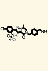 C[C@H]1CN(Cc2ccc(CN)cc2)C(=O)c2cc(-c3ccc(Cl)cc3NS(C)(=O)=O)nn21